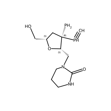 C#[PH][C@]1(P)C[C@@H](CO)O[C@H]1CN1CCCNC1=O